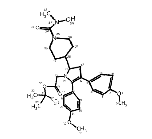 COc1ccc(C2=C(c3ccc(OC)cc3)N(CC(=O)OC(C)(C)C)C(C3CCN(C(=O)N(C)O)CC3)C2)cc1